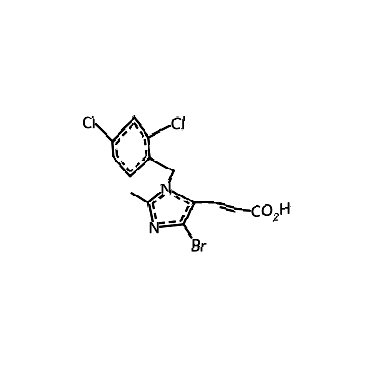 Cc1nc(Br)c(C=CC(=O)O)n1Cc1ccc(Cl)cc1Cl